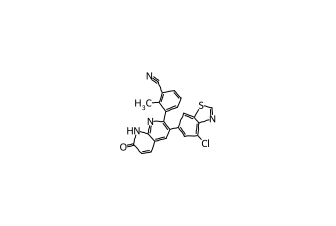 Cc1c(C#N)cccc1-c1nc2[nH]c(=O)ccc2cc1-c1cc(Cl)c2ncsc2c1